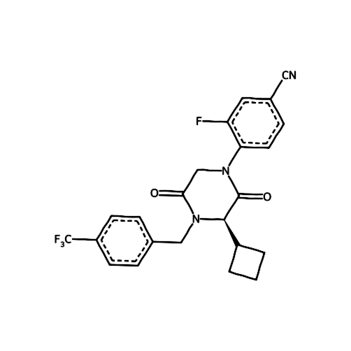 N#Cc1ccc(N2CC(=O)N(Cc3ccc(C(F)(F)F)cc3)[C@H](C3CCC3)C2=O)c(F)c1